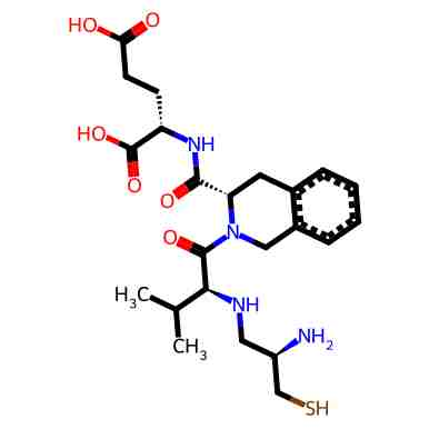 CC(C)[C@H](NC[C@@H](N)CS)C(=O)N1Cc2ccccc2C[C@H]1C(=O)N[C@@H](CCC(=O)O)C(=O)O